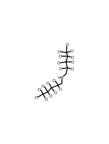 ClC(Cl)(Cl)C(Cl)(Cl)C(Cl)(Cl)C(Cl)(Cl)CNCC(Cl)(Cl)C(Cl)(Cl)C(Cl)(Cl)C(Cl)(Cl)Cl